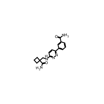 NC(=O)c1cccc(-c2ccc(NCC3(C(N)=O)CCC3)nn2)c1